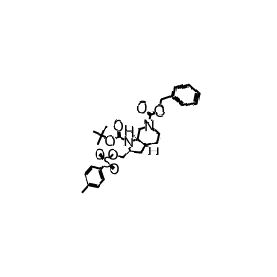 Cc1ccc(S(=O)(=O)OC[C@@H]2C[C@@H]3CCN(C(=O)OCc4ccccc4)C[C@@H]3N2C(=O)OC(C)(C)C)cc1